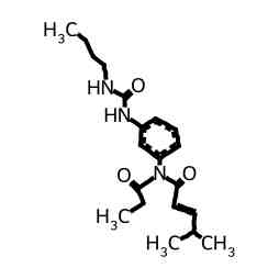 CCCCNC(=O)Nc1cccc(N(C(=O)C=CC(C)C)C(=O)CC)c1